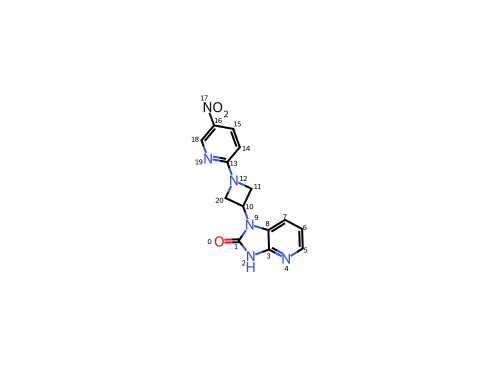 O=c1[nH]c2ncccc2n1C1CN(c2ccc([N+](=O)[O-])cn2)C1